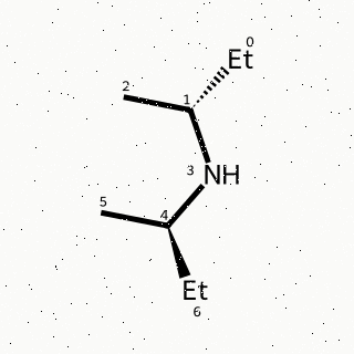 CC[C@@H](C)N[C@H](C)CC